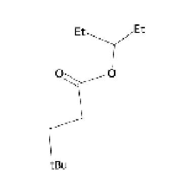 CCC(CC)OC(=O)CCC(C)(C)C